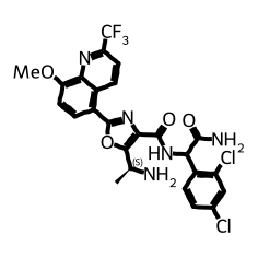 COc1ccc(-c2nc(C(=O)NC(C(N)=O)c3ccc(Cl)cc3Cl)c([C@H](C)N)o2)c2ccc(C(F)(F)F)nc12